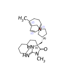 C\C1=C(CN2CC[C@H](C[C@]3(CCC4CCCCC4)NC(=N)N(C)C3=O)C2)/C=C\C=C/CC1